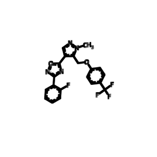 Cn1ncc(-c2nc(-c3ccccc3F)no2)c1COc1ccc(C(F)(F)F)cc1